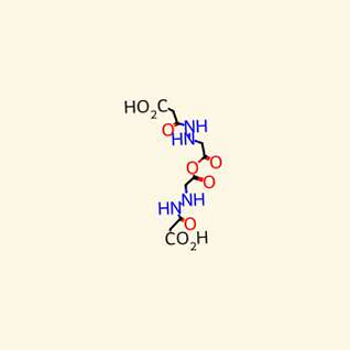 O=C(O)CC(=O)NNCC(=O)OC(=O)CNNC(=O)CC(=O)O